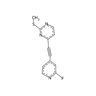 CSc1nccc(C#Cc2ccnc(F)c2)n1